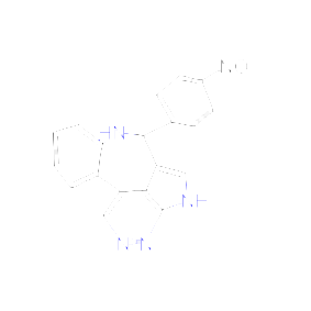 O=[N+]([O-])c1ccc(C2Nc3ccccc3-c3cnnc4[nH]cc2c34)cc1